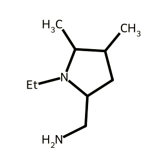 CCN1C(CN)CC(C)C1C